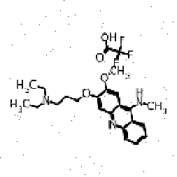 CCN(CC)CCCOc1cc2nc3ccccc3c(NC)c2cc1OC.O=C(O)C(F)(F)F